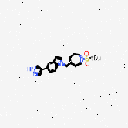 CC(C)(C)S(=O)(=O)N1CCCC(Cn2ccc3cc(-c4cn[nH]c4)ccc32)CC1